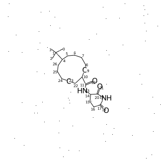 CC(C)(C)C1CCCCCC(C(=O)NC2CCC(=O)NC2=O)CCCCC1